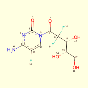 Nc1nc(=O)n(C(=O)C(F)(F)[C@H](O)[C@@H](O)CO)cc1F